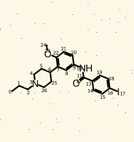 CCCN1CCC(c2cc(NC(=O)c3ccc(I)cc3)ccc2OC)CC1